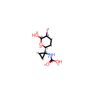 O=C(O)NC1([C@@H]2CCC(I)C(O)O2)CC1